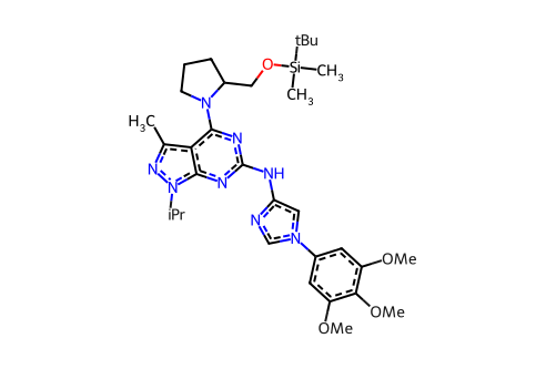 COc1cc(-n2cnc(Nc3nc(N4CCCC4CO[Si](C)(C)C(C)(C)C)c4c(C)nn(C(C)C)c4n3)c2)cc(OC)c1OC